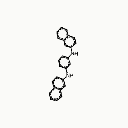 c1cc(Nc2ccc3ccccc3c2)cc(Nc2ccc3ccccc3c2)c1